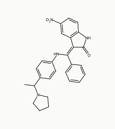 CC(c1ccc(NC(=C2C(=O)Nc3ccc([N+](=O)[O-])cc32)c2ccccc2)cc1)N1CCCC1